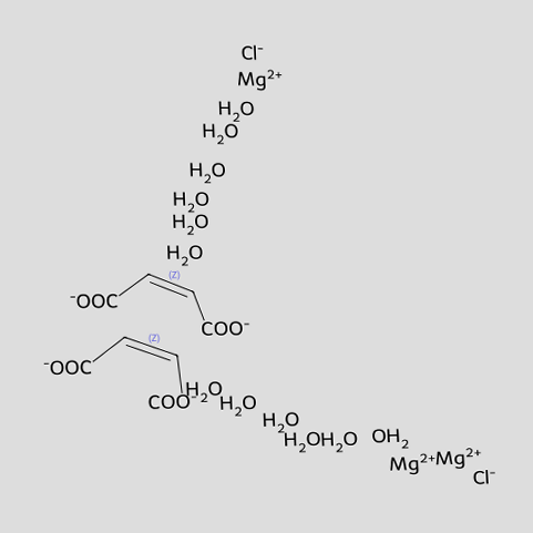 O.O.O.O.O.O.O.O.O.O.O.O.O=C([O-])/C=C\C(=O)[O-].O=C([O-])/C=C\C(=O)[O-].[Cl-].[Cl-].[Mg+2].[Mg+2].[Mg+2]